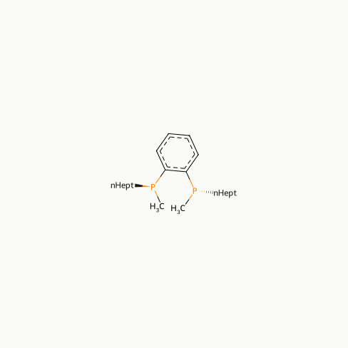 CCCCCCC[P@](C)c1ccccc1[P@@](C)CCCCCCC